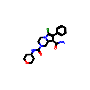 NC(=O)C1C(c2ccccc2)=C(Cl)N2CCN(C(=O)NC3CCOCC3)CC12